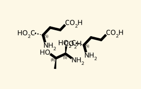 C[C@@H](O)[C@H](N)C(=O)O.N[C@@H](CCC(=O)O)C(=O)O.N[C@@H](CCC(=O)O)C(=O)O